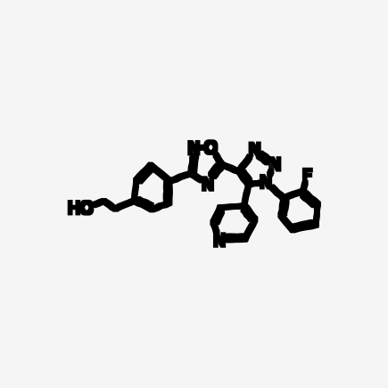 OCCc1ccc(-c2noc(-c3nnn(-c4ccccc4F)c3-c3ccncc3)n2)cc1